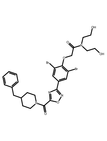 O=C(COc1c(Br)cc(-c2noc(C(=O)N3CCC(Cc4ccccc4)CC3)n2)cc1Br)N(CCO)CCO